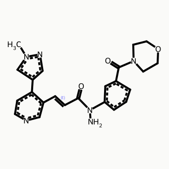 Cn1cc(-c2ccncc2/C=C/C(=O)N(N)c2cccc(C(=O)N3CCOCC3)c2)cn1